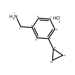 Cl.NCc1cccc(C2CC2)c1